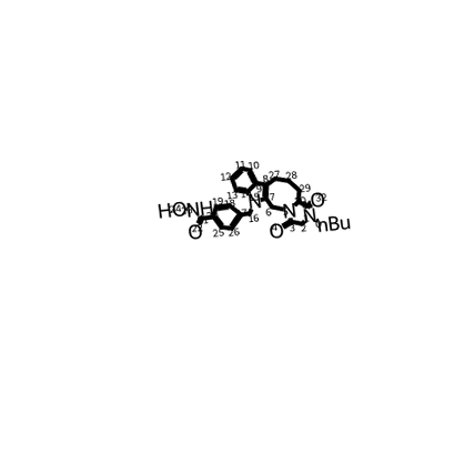 CCCCN1CC(=O)N2Cc3c(c4ccccc4n3Cc3ccc(C(=O)NO)cc3)CCCC2C1=O